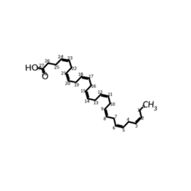 CC/C=C\C/C=C\C/C=C\C/C=C\C/C=C\C/C=C\C/C=C\C/C=C\CCC(=O)O